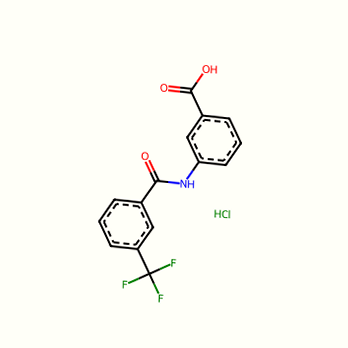 Cl.O=C(O)c1cccc(NC(=O)c2cccc(C(F)(F)F)c2)c1